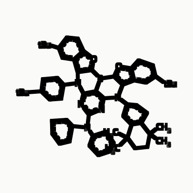 CC(C)(C)c1ccc(N2c3nc(N(c4ccccc4)c4ccccc4)nc4c3B(c3oc5ccc(C(C)(C)C)cc5c32)c2oc3ccc(C(C)(C)C)cc3c2N4c2ccc3c(c2)C(C)(C)CCC3(C)C)cc1